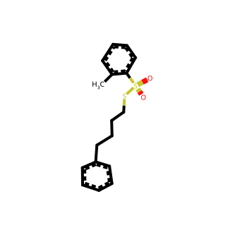 Cc1ccccc1S(=O)(=O)SCCCCc1ccccc1